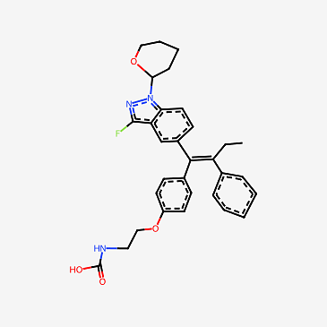 CC/C(=C(/c1ccc(OCCNC(=O)O)cc1)c1ccc2c(c1)c(F)nn2C1CCCCO1)c1ccccc1